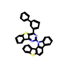 c1ccc(-c2cccc(-c3nc(-n4c5ccccc5c5ccc6sc7ccccc7c6c54)nc4c3sc3ccccc34)c2)cc1